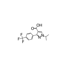 CC(C)n1cc(C(=O)O)c(-c2ccc(C(F)(F)F)cc2)n1